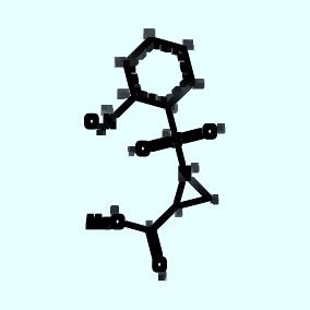 COC(=O)C1CN1S(=O)(=O)c1ccccc1[N+](=O)[O-]